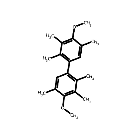 COc1c(C)cc(-c2cc(C)c(OC)c(C)c2C)c(C)c1C